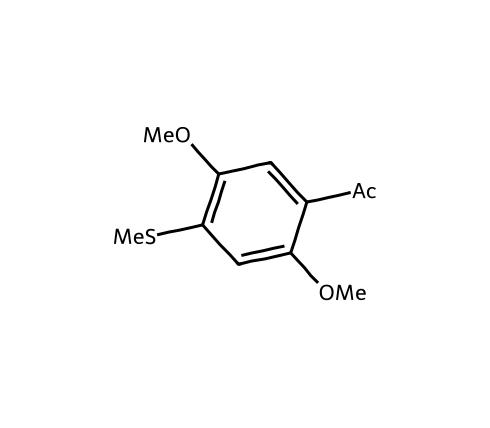 COc1cc(C(C)=O)c(OC)cc1SC